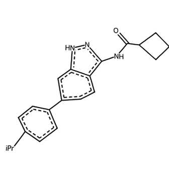 CC(C)c1ccc(-c2ccc3c(NC(=O)C4CCC4)n[nH]c3c2)cc1